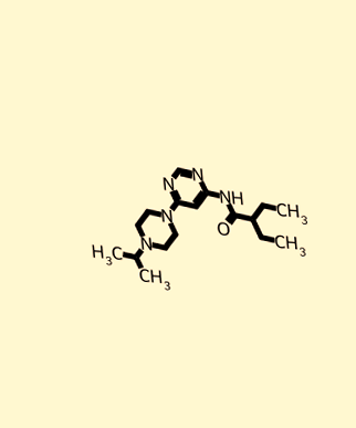 CCC(CC)C(=O)Nc1cc(N2CCN(C(C)C)CC2)ncn1